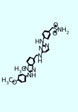 COc1ccc(Nc2nc3cc(CNc4ccnc(Nc5ccc(CS(N)(=O)=O)cc5)n4)ccc3n2C)cc1